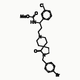 COC(=O)NC(CCN1CCC2(CC1)CCN(Cc1ccc(Br)cc1)C2=O)c1cccc(Cl)c1